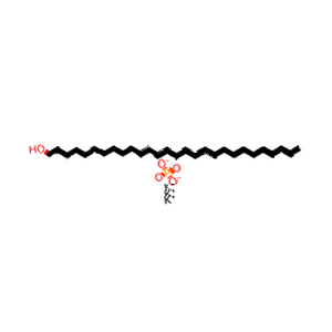 CCCCCCCCCCCCCCCCCCCCCCCCCCCCO.O=P([O-])([O-])[O-].[K+].[K+].[K+]